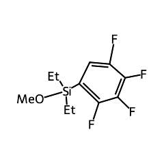 CC[Si](CC)(OC)c1cc(F)c(F)c(F)c1F